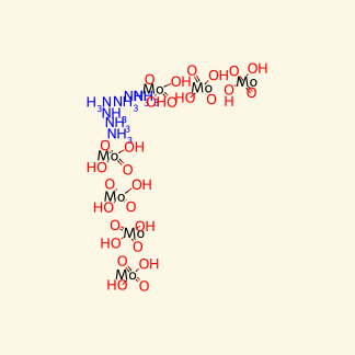 N.N.N.N.N.N.N.[O]=[Mo](=[O])([OH])[OH].[O]=[Mo](=[O])([OH])[OH].[O]=[Mo](=[O])([OH])[OH].[O]=[Mo](=[O])([OH])[OH].[O]=[Mo](=[O])([OH])[OH].[O]=[Mo](=[O])([OH])[OH].[O]=[Mo](=[O])([OH])[OH]